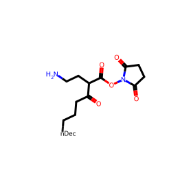 CCCCCCCCCCCCCC(=O)C(CCN)C(=O)ON1C(=O)CCC1=O